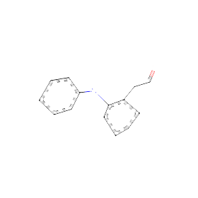 O=[C]Cc1ccccc1Nc1ccccc1